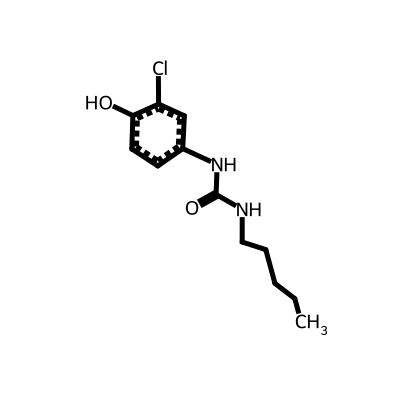 CCCCCNC(=O)Nc1ccc(O)c(Cl)c1